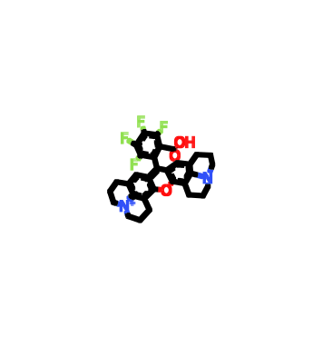 O=C(O)c1c(F)c(F)c(F)c(F)c1C1=c2cc3c4c(c2Oc2c1cc1c5c2CCCN5CCC1)CCC[N+]=4CCC3